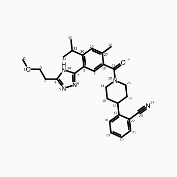 COCCc1nnc(-c2cc(C(=O)N3CCC(c4ccccc4C#N)CC3)c(C)cc2C(C)C)[nH]1